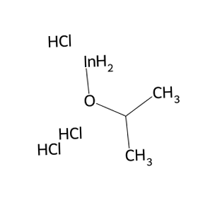 CC(C)[O][InH2].Cl.Cl.Cl